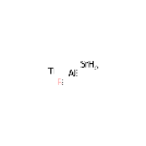 [Al].[B].[SrH2].[Ti]